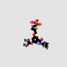 CC(C)Oc1cc(OCc2cnc(P(=O)(O)O)s2)cc(C(=O)Nc2ncc(F)s2)c1